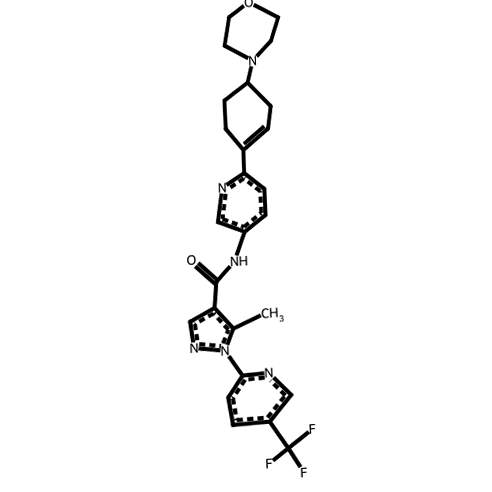 Cc1c(C(=O)Nc2ccc(C3=CCC(N4CCOCC4)CC3)nc2)cnn1-c1ccc(C(F)(F)F)cn1